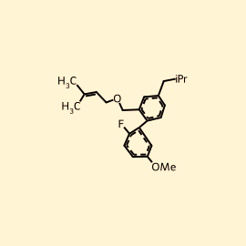 COc1ccc(F)c(-c2ccc(CC(C)C)cc2COCC=C(C)C)c1